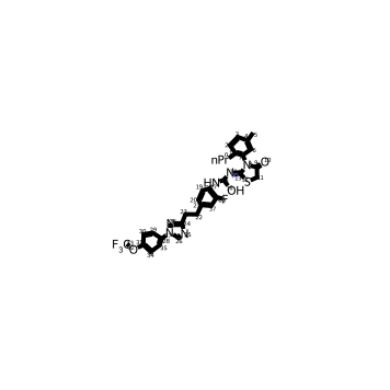 CCCc1ccc(C)cc1N1C(=O)CS/C1=N\C(O)Nc1ccc(CCc2ncn(-c3ccc(OC(F)(F)F)cc3)n2)cc1F